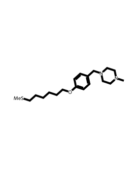 CSCCCCCCOc1ccc(CN2CCN(C)CC2)cc1